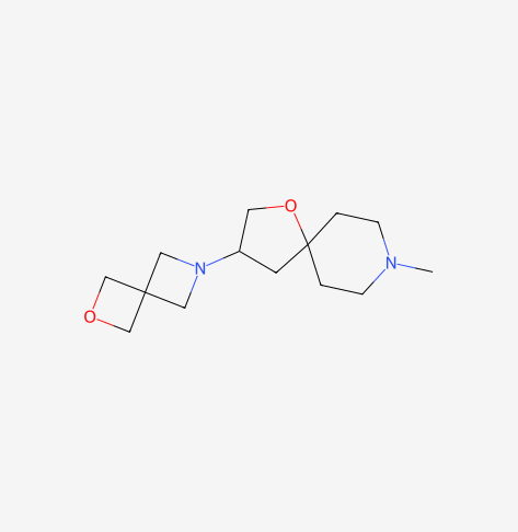 CN1CCC2(CC1)CC(N1CC3(COC3)C1)CO2